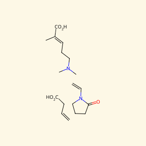 C=CCC(=O)O.C=CN1CCCC1=O.CC(=CCCN(C)C)C(=O)O